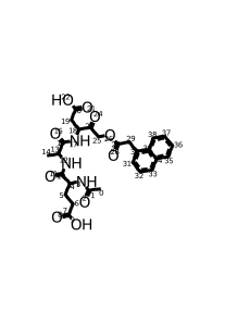 CC(=O)NC(CCC(=O)O)C(=O)NC(C)C(=O)NC(CC(=O)O)C(=O)COC(=O)Cc1cccc2ccccc12